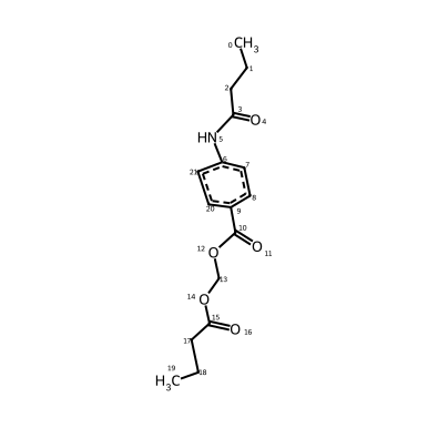 CCCC(=O)Nc1ccc(C(=O)OCOC(=O)CCC)cc1